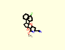 COc1nc(C#N)cc2c1C1(O)CCC(c3ccccc3)C1(c1ccc(Cl)cc1)O2